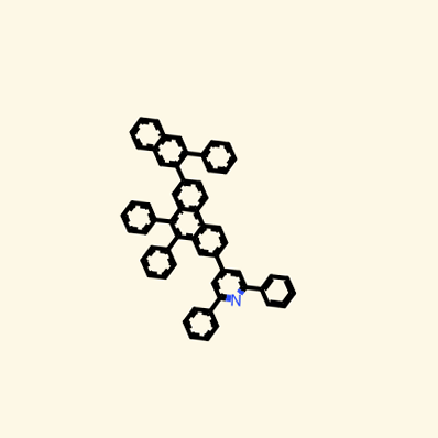 C1=C=CC(c2cc(-c3ccc4c(c3)c(-c3ccccc3)c(-c3ccccc3)c3cc(-c5cc6ccccc6cc5-c5ccccc5)ccc34)cc(-c3ccccc3)n2)=CC=1